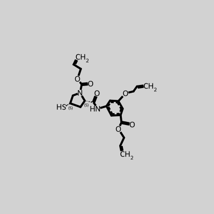 C=CCOC(=O)c1cc(NC(=O)[C@@H]2C[C@H](S)CN2C(=O)OCC=C)cc(OCC=C)c1